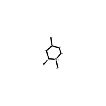 CC1CCN(C)[C@@H](C)C1